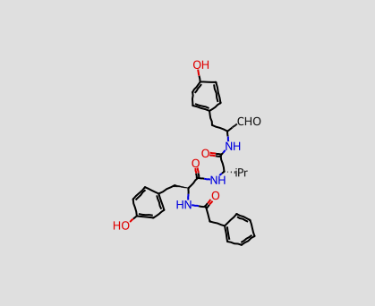 CC(C)[C@H](NC(=O)[C@H](Cc1ccc(O)cc1)NC(=O)Cc1ccccc1)C(=O)NC(C=O)Cc1ccc(O)cc1